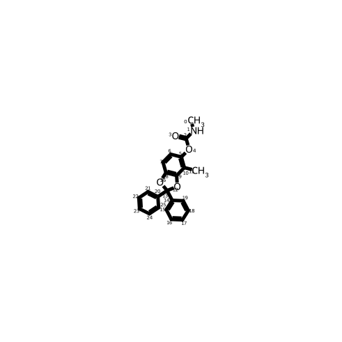 CNC(=O)Oc1ccc2c(c1C)OC(c1ccccc1)(c1ccccc1)O2